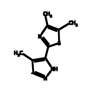 Cc1[c]n[nH]c1-c1nc(C)c(C)s1